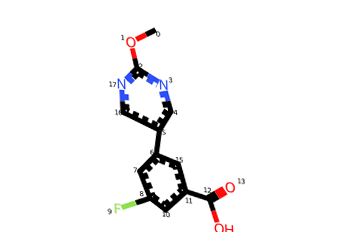 COc1ncc(-c2cc(F)cc(C(=O)O)c2)cn1